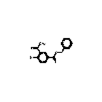 COC(=O)c1cc(C(=O)OCc2ccccc2)ccc1Br